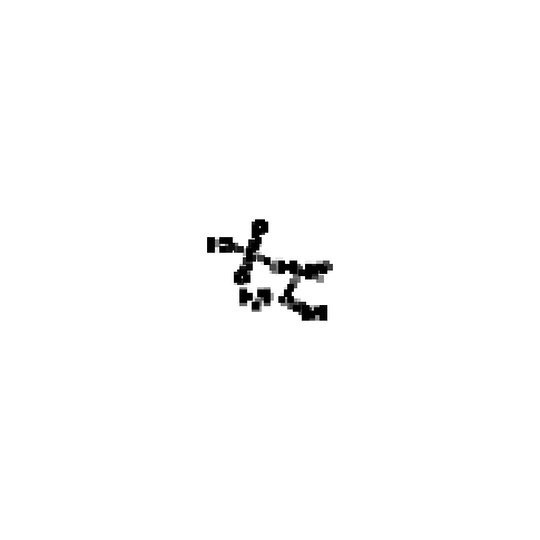 N=C(N)N.O=S(=O)(O)O.[V]